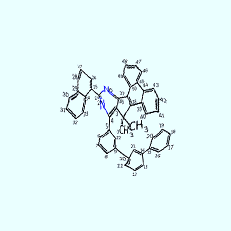 CC1(C)c2c(-c3cccc(-c4cccc(-c5ccccc5)c4)c3)nc(-c3cccc4ccccc34)nc2-c2c1c1ccccc1c1ccccc21